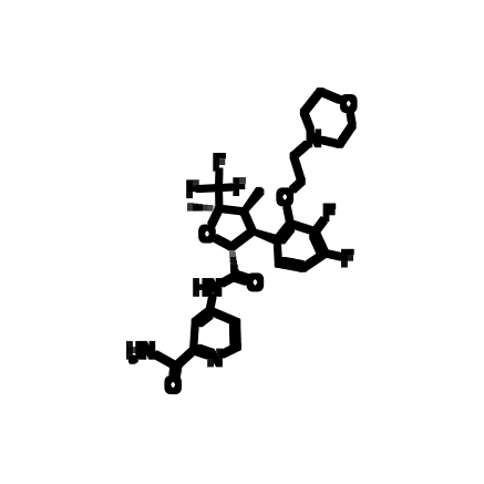 CNC(=O)c1cc(NC(=O)[C@@H]2O[C@@](C)(C(F)(F)F)[C@@H](C)[C@H]2c2ccc(F)c(F)c2OCCN2CCOCC2)ccn1